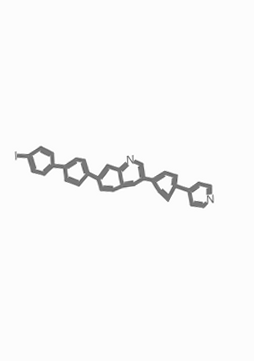 Ic1ccc(-c2ccc(-c3ccc4cc(-c5ccc(-c6ccncc6)cc5)cnc4c3)cc2)cc1